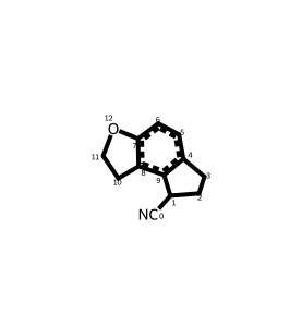 N#CC1CCc2ccc3c(c21)CCO3